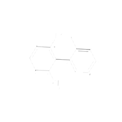 Cc1ccccc1-c1c(F)[c]ccc1Cl